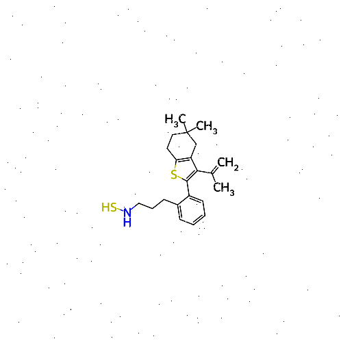 C=C(C)c1c(-c2ccccc2CCCNS)sc2c1CC(C)(C)CC2